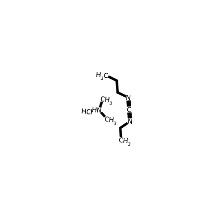 CCCN=C=NCC.CNC.Cl